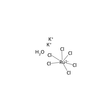 O.[Cl][Ru-2]([Cl])([Cl])([Cl])([Cl])[Cl].[K+].[K+]